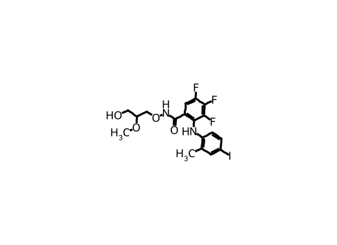 COC(CO)CONC(=O)c1cc(F)c(F)c(F)c1Nc1ccc(I)cc1C